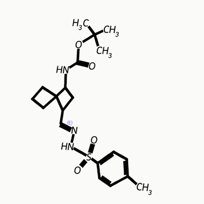 Cc1ccc(S(=O)(=O)N/N=C/C2CC(NC(=O)OC(C)(C)C)C23CCC3)cc1